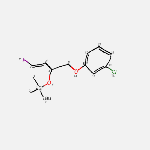 CC(C)(C)[Si](C)(C)OC(C=CI)COc1cccc(Cl)c1